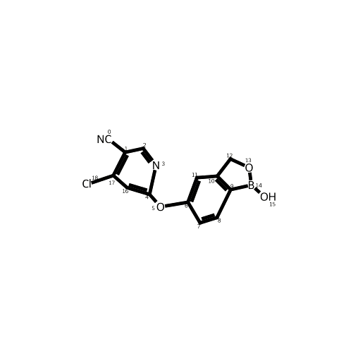 N#Cc1cnc(Oc2ccc3c(c2)COB3O)cc1Cl